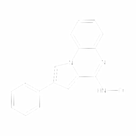 CCNc1nc2ccccc2n2cc(-c3ccccc3)cc12